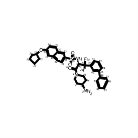 NC1CCN(C(=O)[C@@H](NS(=O)(=O)c2ccc3cc(OC4CCCC4)ccc3c2)C(F)(F)c2cccc(-c3ccccc3)c2)CC1